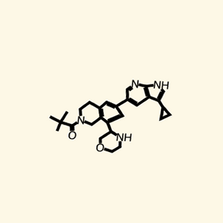 CC(C)(C)C(=O)N1CCc2cc(-c3cnc4[nH]cc(C5CC5)c4c3)cc(C3COCCN3)c2C1